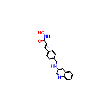 O=C(/C=C/c1ccc(CNc2cnc3ccccc3c2)cc1)NO